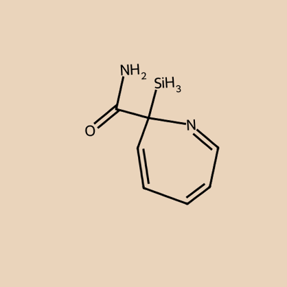 NC(=O)C1([SiH3])C=CC=CC=N1